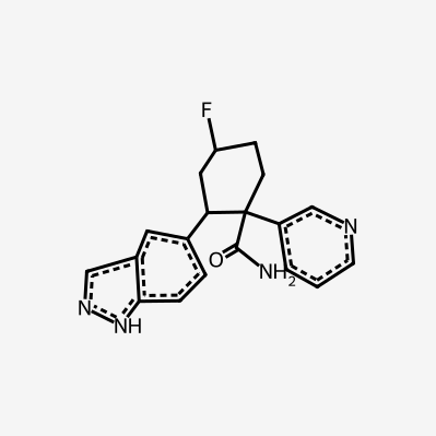 NC(=O)C1(c2cccnc2)CCC(F)CC1c1ccc2[nH]ncc2c1